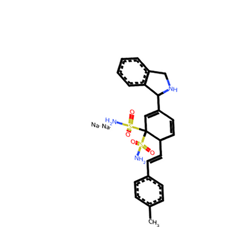 Cc1ccc(C=CC2C=CC(C3NCc4ccccc43)=CC2(S(N)(=O)=O)S(N)(=O)=O)cc1.[Na].[Na]